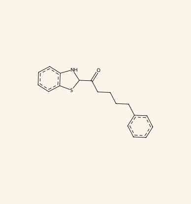 O=C(CCCCc1ccccc1)C1Nc2ccccc2S1